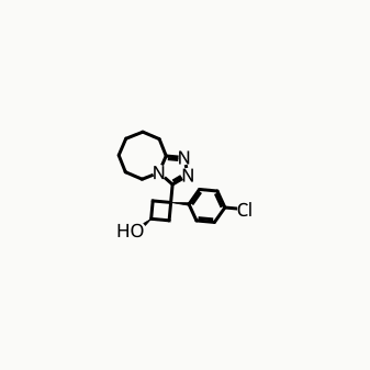 O[C@H]1C[C@](c2ccc(Cl)cc2)(c2nnc3n2CCCCCC3)C1